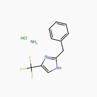 Cl.FC(F)(F)c1c[nH]c(Cc2ccccc2)n1.N